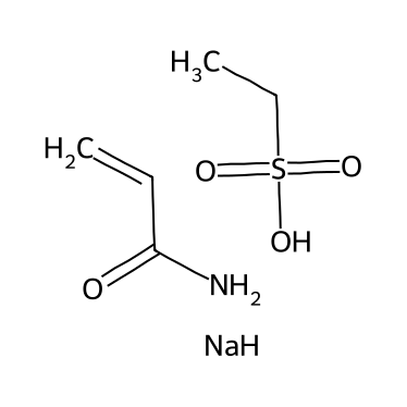 C=CC(N)=O.CCS(=O)(=O)O.[NaH]